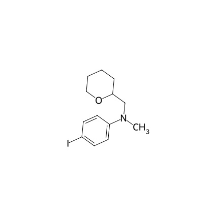 CN(CC1CCCCO1)c1ccc(I)cc1